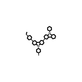 C=Cc1ccc(-c2ccc3c(c2)c2cc(-c4ccc5c(c4)c4ccccc4n5-c4ccccc4)ccc2n3-c2ccc(C)cc2)cc1